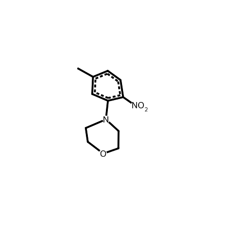 Cc1ccc([N+](=O)[O-])c(N2CCOCC2)c1